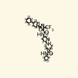 O=C(Nc1ccc(N2CCCN(C(=O)NC3CCCC3)CC2)nc1)c1oc(N2CCC(c3ccccc3)CC2)nc1C(F)(F)F